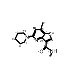 CNC(=O)c1csc2c(C)cc(N3CC[CH]CC3)nc12